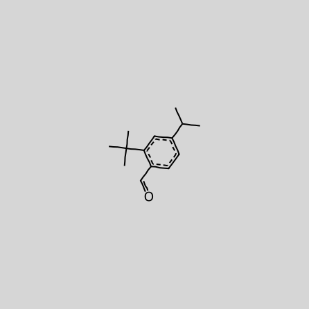 CC(C)c1ccc(C=O)c(C(C)(C)C)c1